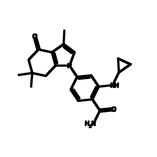 Cc1cn(-c2ccc(C(N)=O)c(NC3CC3)c2)c2c1C(=O)CC(C)(C)C2